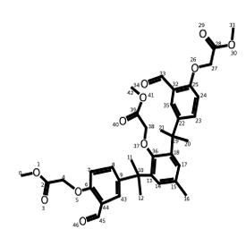 COC(=O)COc1ccc(C(C)(C)c2cc(C)cc(C(C)(C)c3ccc(OCC(=O)OC)c(C=O)c3)c2OCC(=O)OC)cc1C=O